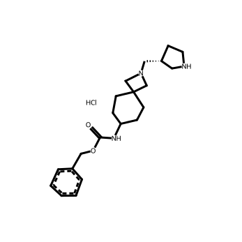 Cl.O=C(NC1CCC2(CC1)CN(C[C@@H]1CCNC1)C2)OCc1ccccc1